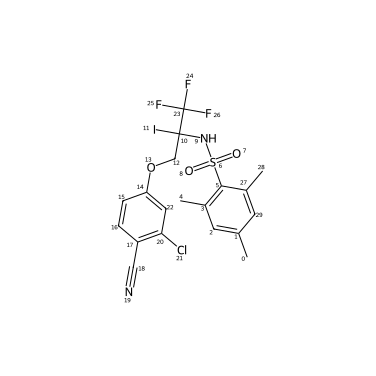 Cc1cc(C)c(S(=O)(=O)NC(I)(COc2ccc(C#N)c(Cl)c2)C(F)(F)F)c(C)c1